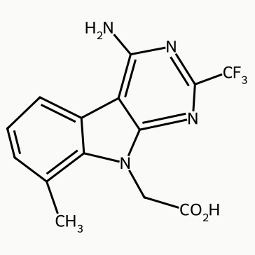 Cc1cccc2c3c(N)nc(C(F)(F)F)nc3n(CC(=O)O)c12